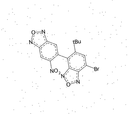 CC(C)(C)c1[c]c(Br)c2nonc2c1-c1cc2nonc2cc1[N+](=O)[O-]